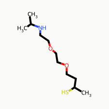 CC(S)CCOCCOCCNC(C)C